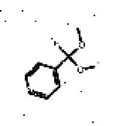 COC(F)(OF)c1ccccc1